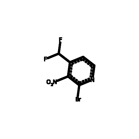 O=[N+]([O-])c1c(C(F)F)ccnc1Br